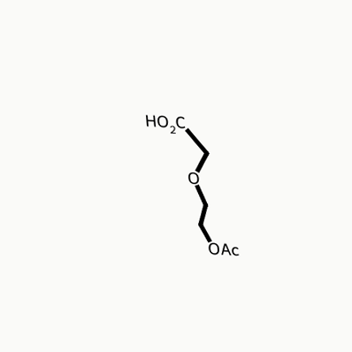 CC(=O)OCCOCC(=O)O